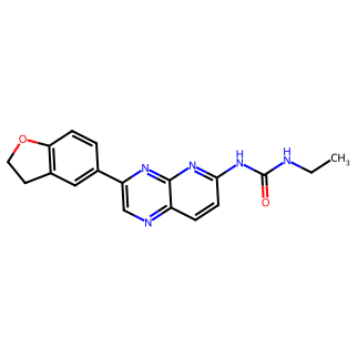 CCNC(=O)Nc1ccc2ncc(-c3ccc4c(c3)CCO4)nc2n1